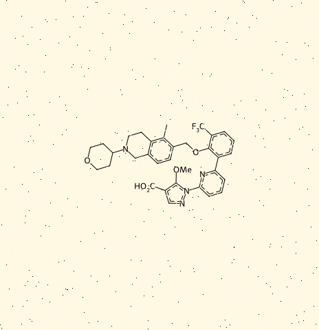 COc1c(C(=O)O)cnn1-c1cccc(-c2cccc(C(F)(F)F)c2OCc2ccc3c(c2C)CCN(C2CCOCC2)C3)n1